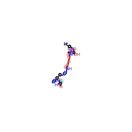 Cc1ncsc1-c1ccc(CNC(=O)[C@@H]2C[C@@H](O)CN2C(=O)C(NC(=O)COCCOCCOCC(=O)NCCN2CCN(Cc3cccc(-c4ccc(N5CCN(C)CC5)c(NC(=O)c5c[nH]c(=O)cc5C(F)(F)F)c4)c3)CC2)C(C)(C)C)cc1